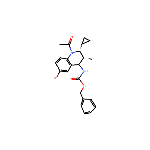 CC(=O)N1c2ccc(Br)cc2[C@H](NC(=O)OCc2ccccc2)[C@@H](C)[C@H]1C1CC1